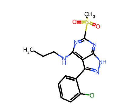 CCCNc1nc(S(C)(=O)=O)nc2[nH]nc(-c3ccccc3Cl)c12